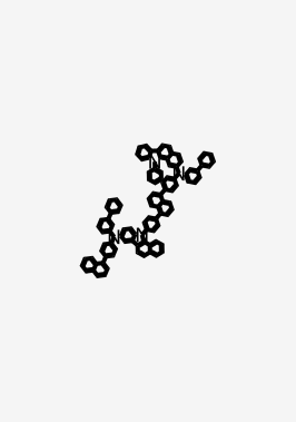 c1ccc(-c2cccc(N(c3ccc(-c4cccc5ccccc45)cc3)c3ccc4c(c3)c3ccc5ccccc5c3n4-c3ccc(-c4cccc5c(-c6ccc(N(c7cccc(-c8ccccc8)c7)c7ccc8ccc9c%10ccccc%10n(-c%10ccccc%10)c9c8c7)cc6)cccc45)cc3)c2)cc1